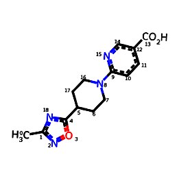 Cc1noc(C2CCN(c3ccc(C(=O)O)cn3)CC2)n1